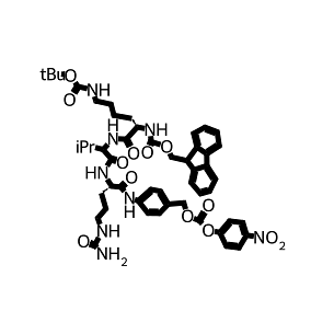 CC(C)C(NC(=O)[C@H](CCCCNC(=O)OC(C)(C)C)NC(=O)OCC1c2ccccc2-c2ccccc21)C(=O)N[C@@H](CCCNC(N)=O)C(=O)Nc1ccc(COC(=O)Oc2ccc([N+](=O)[O-])cc2)cc1